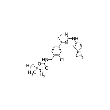 C[C@@H]1C=CC(Nc2ncnc(-c3ccc(CNC(=O)OC(C)(C)C)c(Cl)c3)n2)=N1